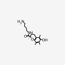 Cc1c(C)c2c(c(C)c1O)CC[C@](C)(C(=O)NCCCCN)O2